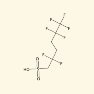 O=S(=O)(O)CC(F)(F)CCC(F)(F)C(F)(F)F